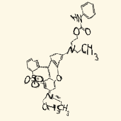 CCN(CCOC(=O)Nc1ccccc1)c1ccc2c(-c3ccccc3S(=O)(=O)[O-])c3ccc(=[N+](CC)CC)cc-3oc2c1